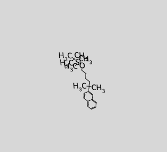 CC(C)(CCCCO[Si](C)(C)C(C)(C)C)c1ccc2ccccc2c1